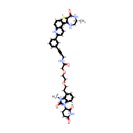 C[C@@H]1CNc2c(sc3ccc4nc(-c5cccc(C#CCNC(=O)COCCOCCc6cccc7c6n(C)c(=O)n7C6CCC(=O)NC6=O)c5)ccc4c23)C(=O)N1